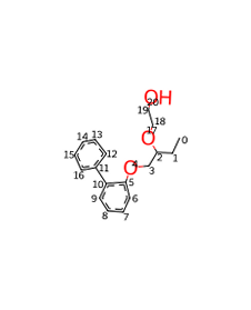 CCC(COc1ccccc1-c1ccccc1)OCCO